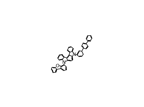 C1=CC(n2c3ccccc3c3c4c5ccccc5n(-c5cccc6c5oc5ccccc56)c4ccc32)=CC(c2ccc(-c3ccccc3)cc2)C1